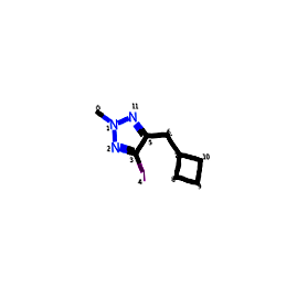 Cn1nc(I)c([CH]C2CCC2)n1